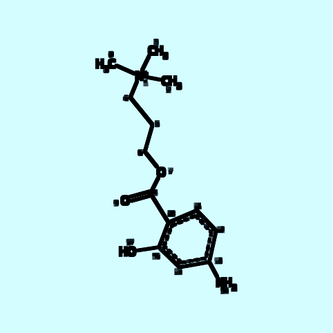 C[N+](C)(C)CCCOC(=O)c1ccc(N)cc1O